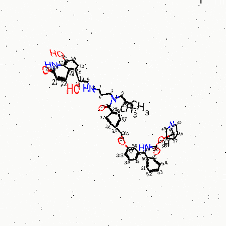 CC(C)CN(CCCNC[C@H](O)c1ccc(O)c2[nH]c(=O)ccc12)C(=O)c1ccc(COc2cccc([C@@H](NC(=O)O[C@H]3CN4CCC3CC4)c3ccccc3)c2)cc1